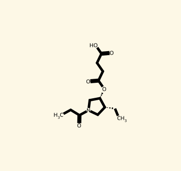 CCC(=O)N1C[C@@H](CC)[C@@H](OC(=O)CCC(=O)O)C1